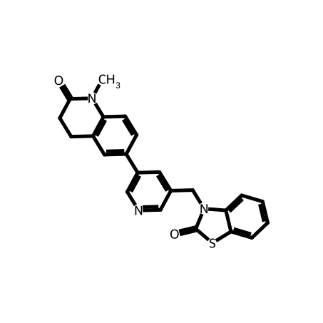 CN1C(=O)CCc2cc(-c3cncc(Cn4c(=O)sc5ccccc54)c3)ccc21